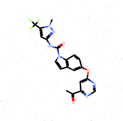 CC(=O)c1cc(Oc2ccc3c(ccn3C(=O)Nc3cc(C(F)(F)F)n(C)n3)c2)ncn1